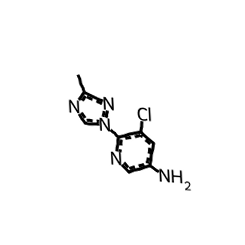 Cc1ncn(-c2ncc(N)cc2Cl)n1